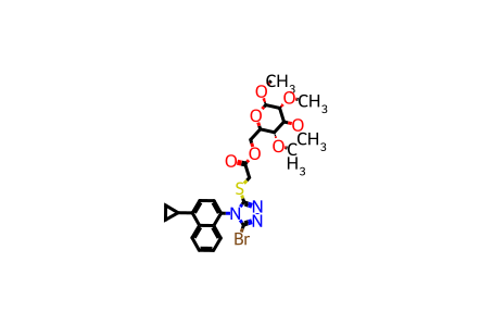 COC1[C@H](OC)C(COC(=O)CSc2nnc(Br)n2-c2ccc(C3CC3)c3ccccc23)O[C@@H](OC)[C@H]1OC